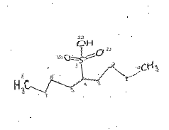 CCCCC(CCCC)S(=O)(=O)O